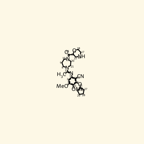 COc1cc(N=C(C)N2CCCN(C(=O)C3CNCCO3)CC2)c(C#N)c(OC2CCCC2)c1OC